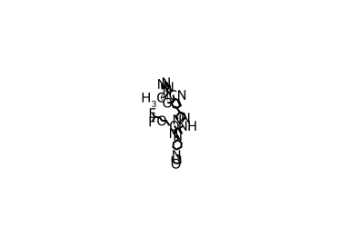 C[C@@H](Cn1cnnn1)Oc1cc(-c2cnc(Nc3cn(C4CCC(N5CCOCC5)CC4)nc3OCCOCC(F)F)nc2)ccc1C#N